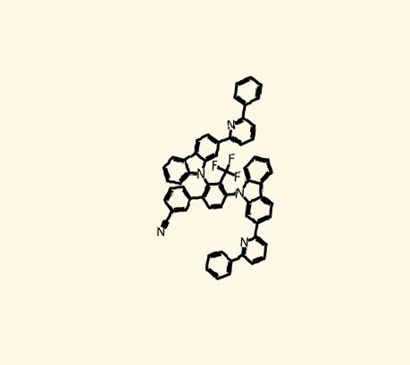 N#Cc1cccc(-c2ccc(-n3c4ccccc4c4ccc(-c5cccc(-c6ccccc6)n5)cc43)c(C(F)(F)F)c2-n2c3ccccc3c3ccc(-c4cccc(-c5ccccc5)n4)cc32)c1